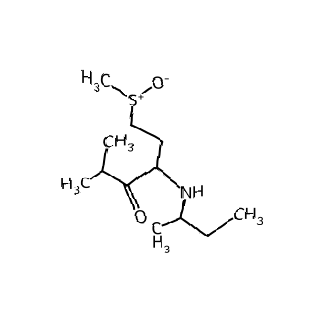 CCC(C)NC(CC[S+](C)[O-])C(=O)C(C)C